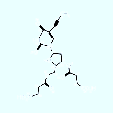 CC#Cc1cn([C@H]2C[C@H](OC(=O)CCC(=O)O)[C@@H](COC(=O)CCC(=O)O)O2)c(=O)[nH]c1=O